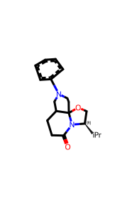 CC(C)[C@@H]1COC23CCN(c4ccccc4)CC2CCC(=O)N13